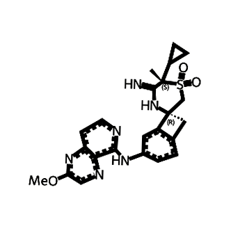 COc1cnc2c(Nc3ccc4c(c3)[C@]3(C4)CS(=O)(=O)[C@@](C)(C4CC4)C(=N)N3)nccc2n1